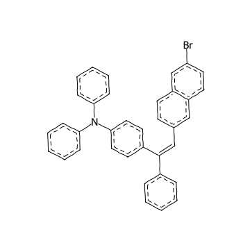 Brc1ccc2cc(/C=C(/c3ccccc3)c3ccc(N(c4ccccc4)c4ccccc4)cc3)ccc2c1